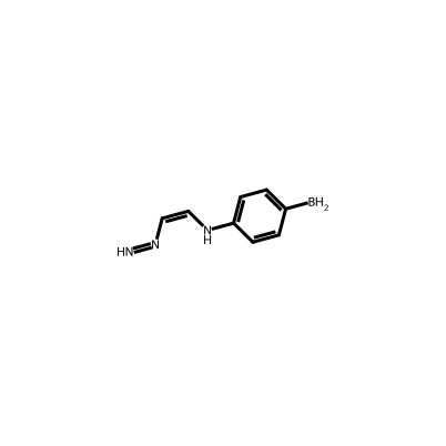 Bc1ccc(N/C=C\N=N)cc1